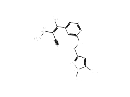 Cc1cc(COc2cccc(/C(N)=C(\C#N)NN)c2)nn1C